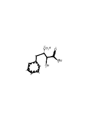 CC(C)(C)C(=O)C(O)[C@H](Cc1ccccc1)C(=O)O